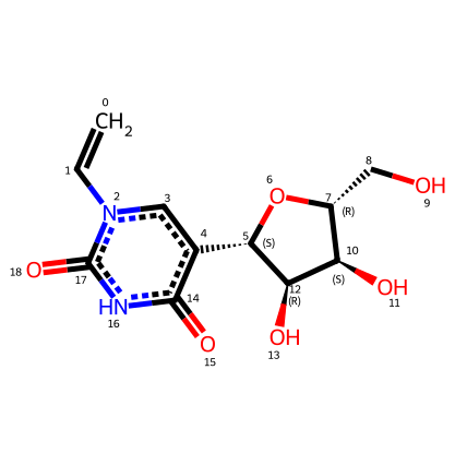 C=Cn1cc([C@@H]2O[C@H](CO)[C@@H](O)[C@H]2O)c(=O)[nH]c1=O